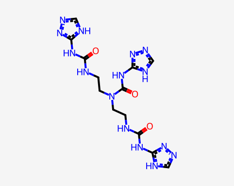 O=C(NCCN(CCNC(=O)Nc1nnc[nH]1)C(=O)Nc1nnc[nH]1)Nc1nnc[nH]1